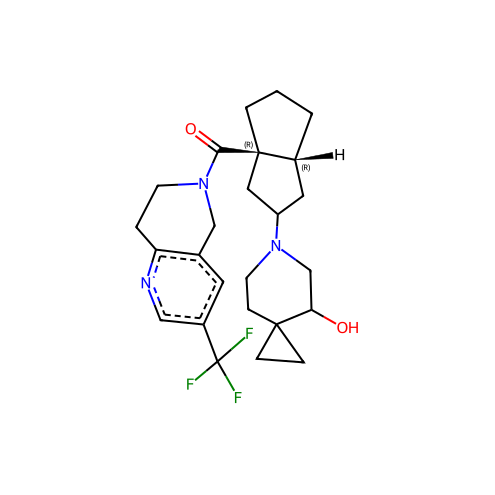 O=C(N1CCc2ncc(C(F)(F)F)cc2C1)[C@@]12CCC[C@@H]1CC(N1CCC3(CC3)C(O)C1)C2